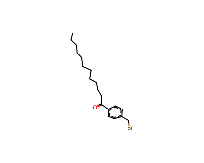 CCCCCCCCCCCC(=O)c1ccc(CBr)cc1